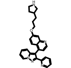 c1ccc(-c2nn3ccccc3c2-c2ccnc3cc(OCCCC4CCNC4)ccc23)nc1